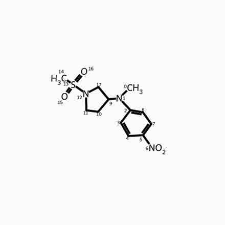 CN(c1ccc([N+](=O)[O-])cc1)C1CCN(S(C)(=O)=O)C1